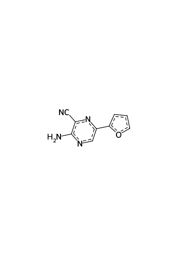 N#Cc1nc(-c2ccco2)cnc1N